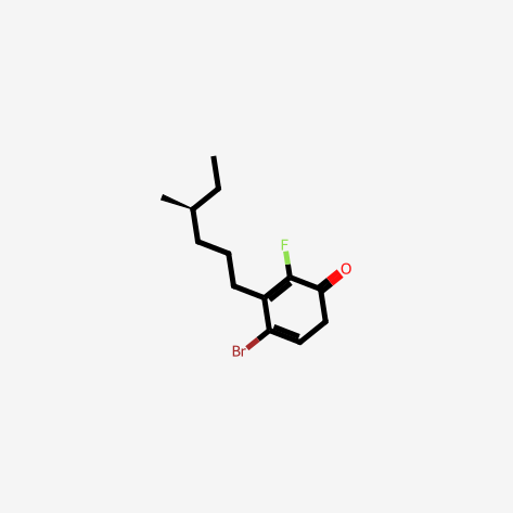 CC[C@H](C)CCCC1=C(F)C(=O)CC=C1Br